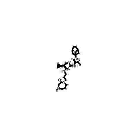 Cc1nn(C2CC3CCC(C2)N3C)cc1Nc1ncc(C2CC2)c(NCCCN2CCCN(C)CC2=O)n1